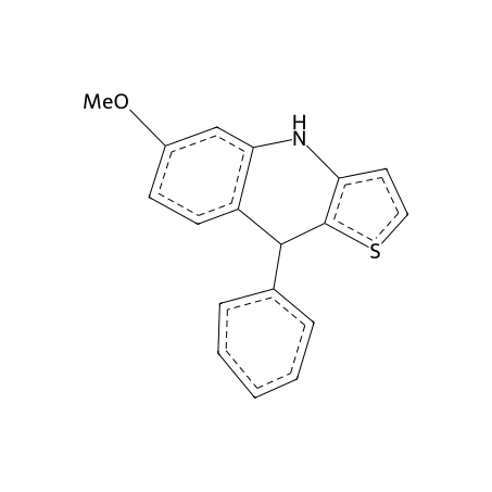 COc1ccc2c(c1)Nc1ccsc1C2c1ccccc1